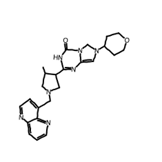 CC1CN(Cc2ccnc3cccnc23)CC1C1=NC2=CN(C3CCOCC3)CN2C(=O)N1